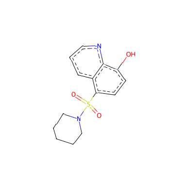 O=S(=O)(c1ccc(O)c2ncccc12)N1CCCCC1